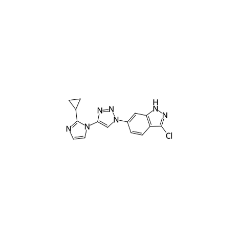 Clc1n[nH]c2cc(-n3cc(-n4ccnc4C4CC4)nn3)ccc12